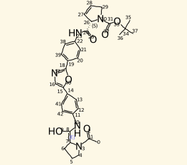 CC(=O)N1CCC/C1=C(\O)Nc1ccc(-c2cnc(-c3ccc(NC(=O)[C@@H]4C=CCN4C(=O)OC(C)(C)C)cc3)o2)cc1